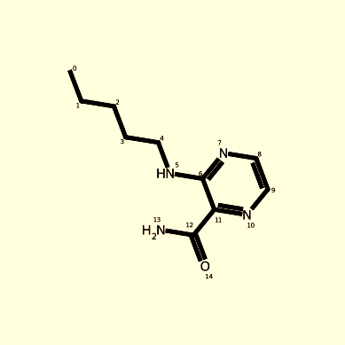 CCCCCNc1nccnc1C(N)=O